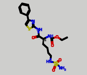 CCOC(=O)N[C@@H](CCCCNS(N)(=O)=O)C(=O)Nc1nc(-c2ccccc2)cs1